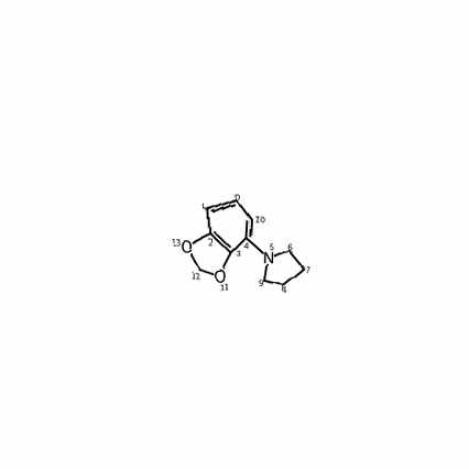 c1cc2c(c(N3CCCC3)c1)OCO2